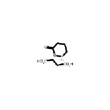 O=C(O)CCC(=O)O.O=C1CCCPO1